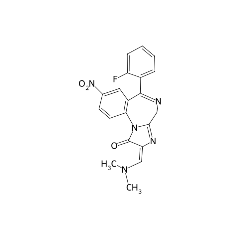 CN(C)C=C1N=C2CN=C(c3ccccc3F)c3cc([N+](=O)[O-])ccc3N2C1=O